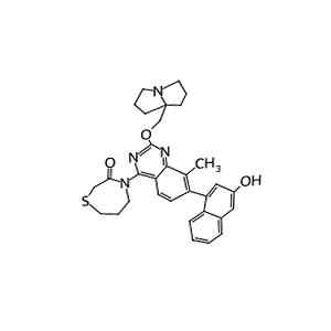 Cc1c(-c2cc(O)cc3ccccc23)ccc2c(N3CCCSCC3=O)nc(OCC34CCCN3CCC4)nc12